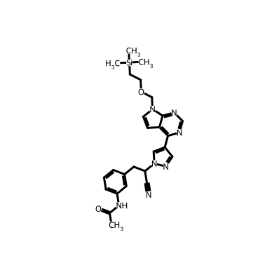 CC(=O)Nc1cccc(CC(C#N)n2cc(-c3ncnc4c3ccn4COCC[Si](C)(C)C)cn2)c1